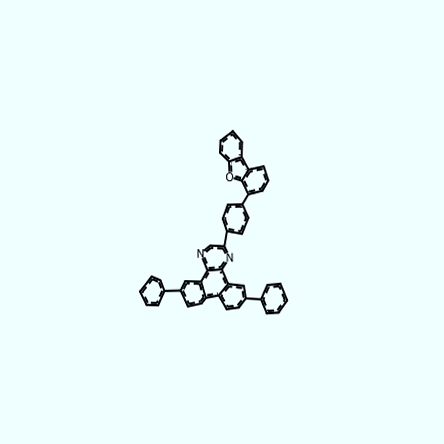 c1ccc(-c2ccc3c4ccc(-c5ccccc5)cc4c4nc(-c5ccc(-c6cccc7c6oc6ccccc67)cc5)cnc4c3c2)cc1